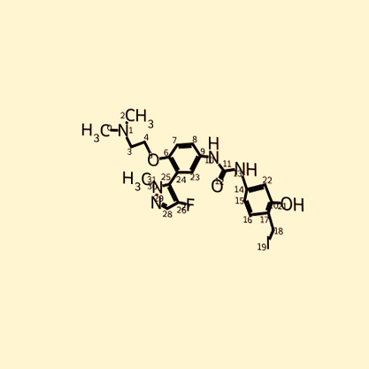 CN(C)CCOc1ccc(NC(=O)Nc2ccc(CI)c(O)c2)cc1-c1c(F)cnn1C